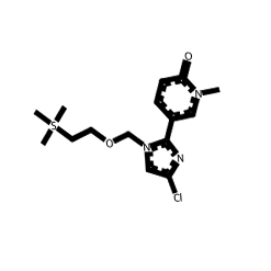 Cn1cc(-c2nc(Cl)cn2COCCS(C)(C)C)ccc1=O